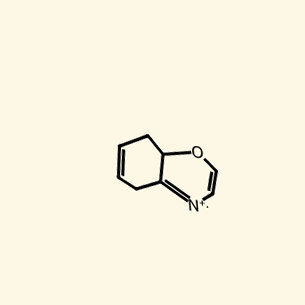 C1=CCC2OC=C[N+]=C2C1